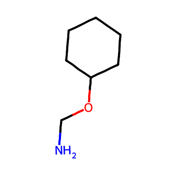 NCOC1CCCCC1